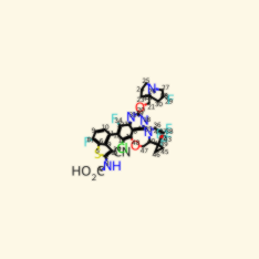 N#Cc1c(NC(=O)O)sc2c(F)ccc(-c3c(Cl)c4c5c(nc(OC[C@@]67CCCN6C[C@H](F)C7)nc5c3F)N(CC(F)F)C(C3(C(F)F)CC3)CO4)c12